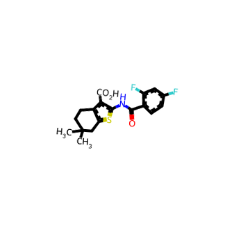 CC1(C)CCc2c(sc(NC(=O)c3ccc(F)cc3F)c2C(=O)O)C1